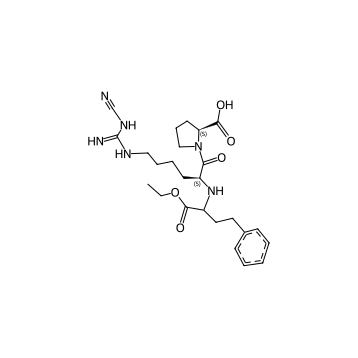 CCOC(=O)C(CCc1ccccc1)N[C@@H](CCCCNC(=N)NC#N)C(=O)N1CCC[C@H]1C(=O)O